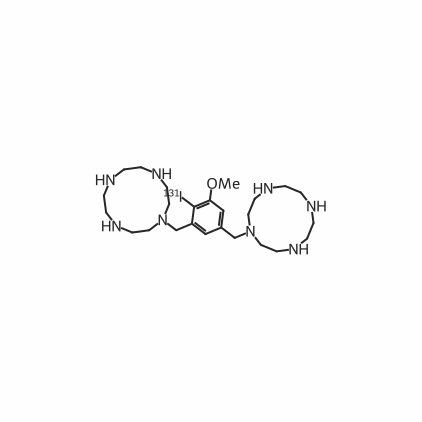 COc1cc(CN2CCNCCNCCNCC2)cc(CN2CCNCCNCCNCC2)c1[131I]